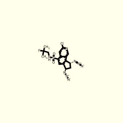 CC(C)(F)CNS(=O)(=O)c1cc2c(c3cnc(Cl)cc13)[C@H](N=[N+]=[N-])C[C@H]2N=[N+]=[N-]